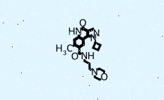 Cc1cc2[nH]c(=O)c3cnn(C4CCC4)c3c2cc1C(=O)NCCCN1CCOCC1